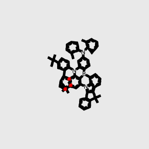 Cc1ccccc1N(c1ccc2c(c1)N(c1ccc(C(C)(C)C)cc1-c1ccccc1)c1cc(C(C)(C)C)cc3c1B2c1cccc2c4c(n-3c12)-c1ccccc1C4(C)C)c1ccccc1C